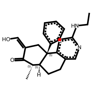 CCNc1ncc2c(n1)[C@@]1(c3ccccc3)CC(=CO)C(=O)[C@@H](C)[C@@H]1CC2